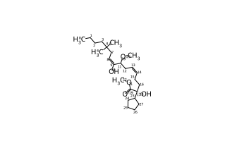 CCCCC(C)(C)C/C=C(/O)C(C/C=C\CC[C@](O)(C(=O)OC)C1CCCC1)OC